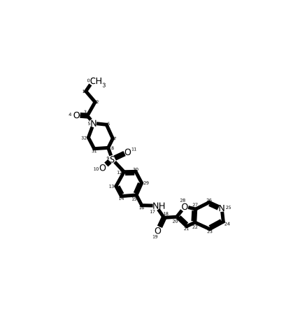 CCCC(=O)N1CCC(S(=O)(=O)c2ccc(CNC(=O)c3cc4ccncc4o3)cc2)CC1